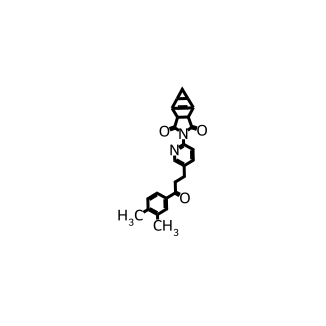 Cc1ccc(C(=O)CCc2ccc(N3C(=O)C4C5C=CC(C6CC56)C4C3=O)nc2)cc1C